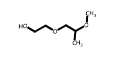 COC(C)COCCO